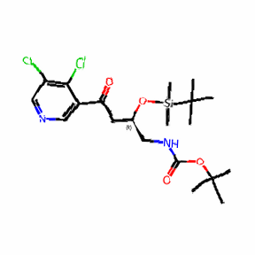 CC(C)(C)OC(=O)NC[C@@H](CC(=O)c1cncc(Cl)c1Cl)O[Si](C)(C)C(C)(C)C